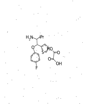 CC(C)C(N)C(Oc1ccc(F)cc1)c1cccs1.O=C(O)C(=O)O